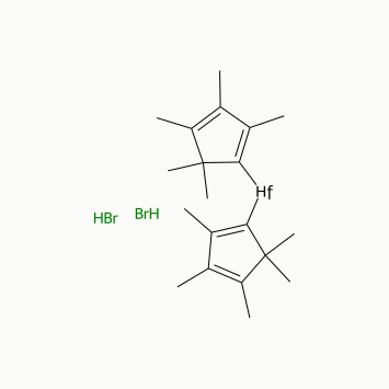 Br.Br.CC1=C(C)C(C)(C)[C]([Hf][C]2=C(C)C(C)=C(C)C2(C)C)=C1C